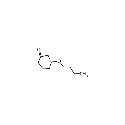 CCCCON1CCCC(=O)C1